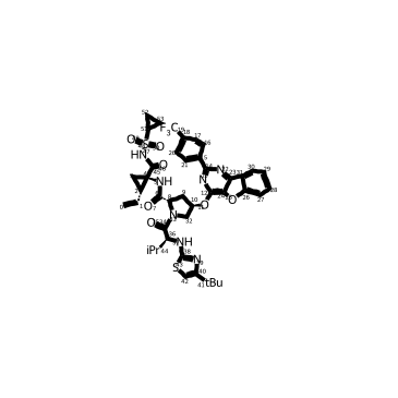 C=C[C@@H]1C[C@]1(NC(=O)[C@@H]1C[C@@H](Oc2nc(-c3ccc(C(F)(F)F)cc3)nc3c2oc2ccccc23)CN1C(=O)[C@@H](Nc1nc(C(C)(C)C)cs1)C(C)C)C(=O)NS(=O)(=O)C1CC1